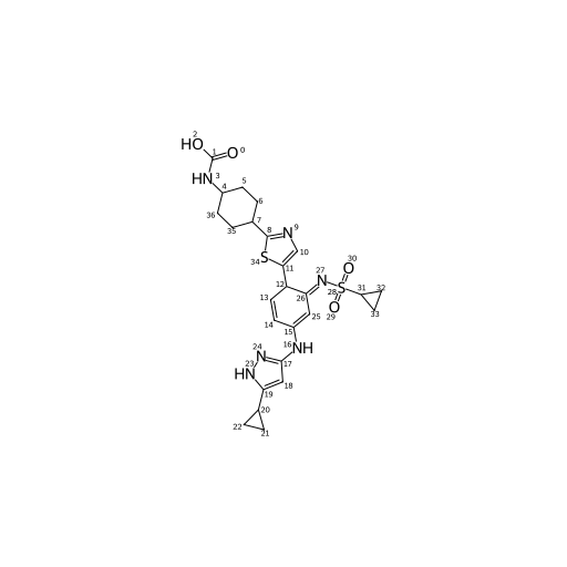 O=C(O)NC1CCC(c2ncc(C3C=CC(Nc4cc(C5CC5)[nH]n4)=CC3=NS(=O)(=O)C3CC3)s2)CC1